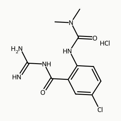 CN(C)C(=O)Nc1ccc(Cl)cc1C(=O)NC(=N)N.Cl